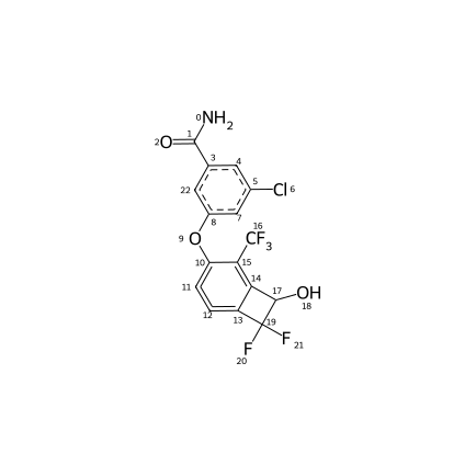 NC(=O)c1cc(Cl)cc(OC2=C=C=C3C(=C2C(F)(F)F)C(O)C3(F)F)c1